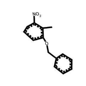 Cc1c(OCc2ccccc2)cccc1[N+](=O)[O-]